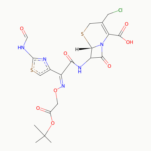 CC(C)(C)OC(=O)CON=C(C(=O)NC1C(=O)N2C(C(=O)O)=C(CCl)CS[C@@H]12)c1csc(NC=O)n1